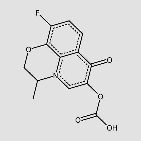 CC1COc2c(F)ccc3c(=O)c(OC(=O)O)cn1c23